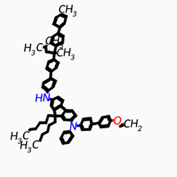 C=COc1ccc(-c2ccc(N(c3ccccc3)c3ccc4c(c3)C(CCCCCC)(CCCCCC)c3cc(Nc5ccc(-c6ccc(C(C)(CC(C)C)c7ccc(-c8ccc(C)cc8)cc7)cc6)cc5)ccc3-4)cc2)cc1